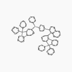 c1ccc(N(c2ccc(-c3ccc4ccccc4c3-c3cccc4c3-c3ccccc3C4(c3ccccc3)c3ccccc3)cc2)c2ccc3c(c2)C(c2ccccc2)(c2ccccc2)c2ccccc2-3)cc1